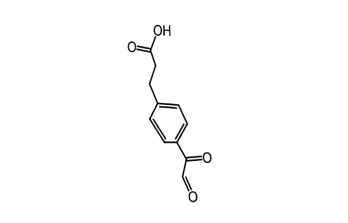 O=CC(=O)c1ccc(CCC(=O)O)cc1